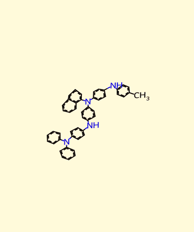 Cc1ccc(Nc2ccc(N(c3ccc(Nc4ccc(N(c5ccccc5)c5ccccc5)cc4)cc3)c3cccc4ccccc34)cc2)cc1